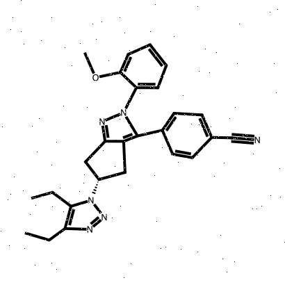 CCc1nnn([C@@H]2Cc3nn(-c4ccccc4OC)c(-c4ccc(C#N)cc4)c3C2)c1CC